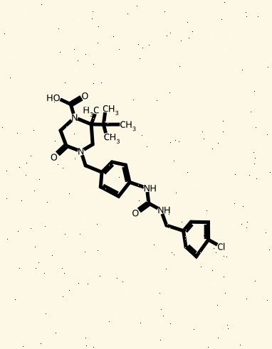 CC(C)(C)C1(C)CN(Cc2ccc(NC(=O)NCc3ccc(Cl)cc3)cc2)C(=O)CN1C(=O)O